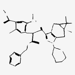 COC(=O)c1cc([N+](=O)[O-])c(C(C(=O)OCc2ccccc2)C(=O)c2nn(C3CCCCO3)c3c2CC2C(F)(F)[C@]2(C)C3)cc1F